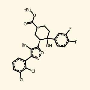 CC(C)(C)OC(=O)N1CC[C@](O)(c2ccc(F)c(F)c2)[C@@H](c2onc(-c3cccc(Cl)c3Cl)c2Br)C1